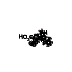 CC1(C)[C@H]2CC[C@]1(CN(CCC(=O)O)C(=O)c1coc(CS(C)(=O)=O)n1)c1nnc(-c3c(F)cccc3F)cc12